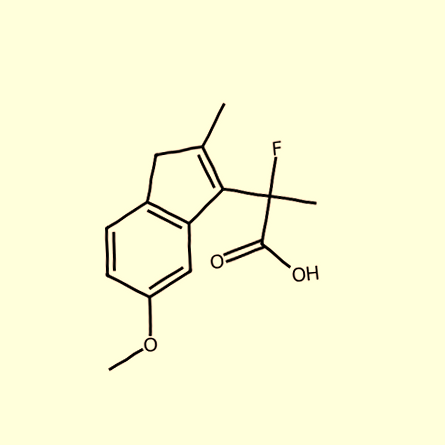 COc1ccc2c(c1)C(C(C)(F)C(=O)O)=C(C)C2